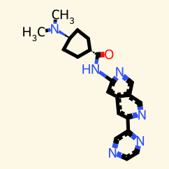 CN(C)[C@H]1CC[C@H](C(=O)Nc2cc3cc(-c4cnccn4)ncc3cn2)CC1